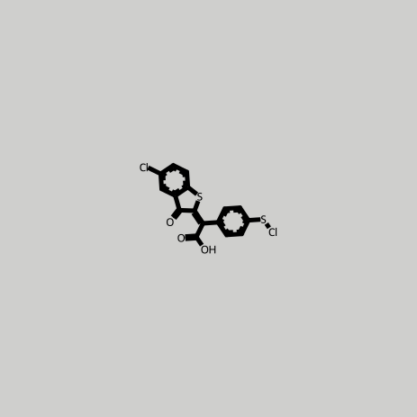 O=C(O)C(=C1Sc2ccc(Cl)cc2C1=O)c1ccc(SCl)cc1